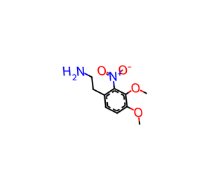 COc1ccc(CCN)c([N+](=O)[O-])c1OC